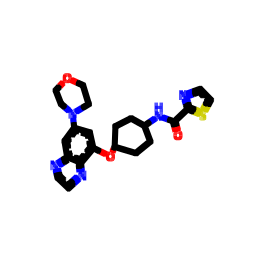 O=C(NC1CCC(Oc2cc(N3CCOCC3)cc3nccnc23)CC1)c1nccs1